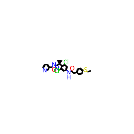 CCSc1ccc(CC(=O)Nc2cc(Cl)c(C3(c4noc(-c5cccnc5)n4)CC3)c(Cl)c2)cc1